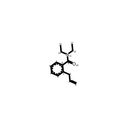 C=CCc1ccccc1C(=O)N(CC)CC